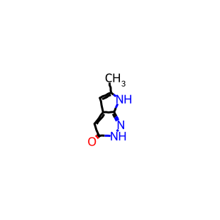 Cc1cc2cc(=O)[nH]nc2[nH]1